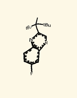 CC(C)(C)C(C)(c1cnc2cc(F)ccc2n1)C(C)(C)C